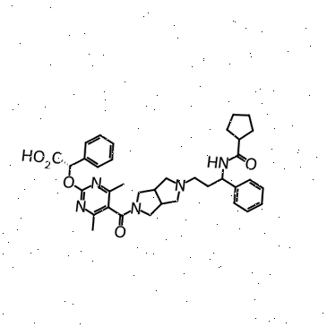 Cc1nc(O[C@H](C(=O)O)c2ccccc2)nc(C)c1C(=O)N1CC2CN(CCC(NC(=O)C3CCCC3)c3ccccc3)CC2C1